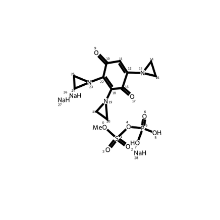 COS(=O)(=O)OP(=O)(O)O.O=C1C=C(N2CC2)C(=O)C(N2CC2)=C1N1CC1.[NaH].[NaH].[NaH]